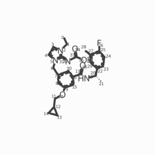 CCn1ccn(Cc2cc(OCC3CC3)cc(C(=O)N[C@@H](C)c3ccc(F)c(C)c3)c2)/c1=N/C(=O)O